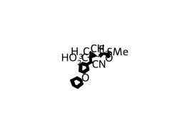 CSC(=O)C(F)=C[C@H]1C(C)(C)[C@]1(C(=O)O)[C@@H](C#N)c1cccc(Oc2ccccc2)c1